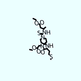 CCOC(=O)CC(C)NC(=S)N1CCC2(CC1)NC(CCSC)C(=O)N2CC(=O)OCC